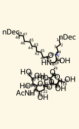 CCCCCCCCCCCCC/C=C/[C@@H](O)[C@H](CO[C@@H]1OC(CO)[C@H](O)[C@H](O[C@]2(C(=O)O)CC(O)[C@@H](NC(C)=O)C([C@H](O)[C@H](O)CO)O2)C1O)NC(=O)CCCCCCCCCCCCCCCCCCC